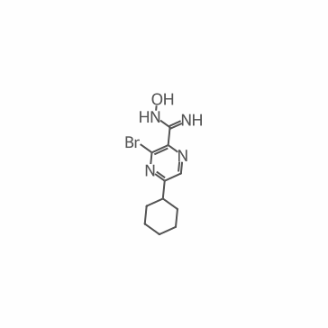 N=C(NO)c1ncc(C2CCCCC2)nc1Br